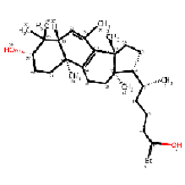 CCC(O)CCC[C@@H](C)[C@H]1CC[C@@]2(C)C3=C(CC[C@]12C)[C@@]1(C)CC[C@H](O)C(C)(C)[C@@H]1C=C3C